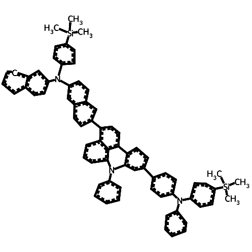 C[Si](C)(C)c1ccc(N(c2ccccc2)c2ccc(-c3ccc4c(c3)N(c3ccccc3)c3cccc5c(-c6ccc7cc(N(c8ccc([Si](C)(C)C)cc8)c8ccc9ccccc9c8)ccc7c6)ccc-4c35)cc2)cc1